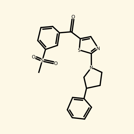 CS(=O)(=O)c1cccc(C(=O)c2cnc(N3CCC(c4ccccc4)C3)s2)c1